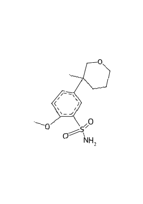 COc1ccc(C2(C)CCCOC2)cc1S(N)(=O)=O